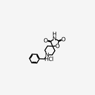 Cl.O=C1NC(=O)C2(CCN(Cc3ccccc3)CC2)O1